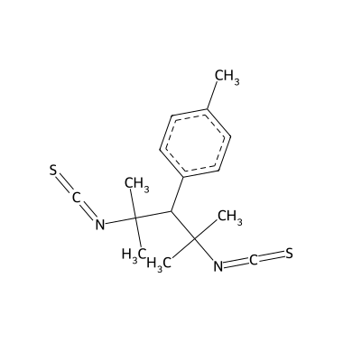 Cc1ccc(C(C(C)(C)N=C=S)C(C)(C)N=C=S)cc1